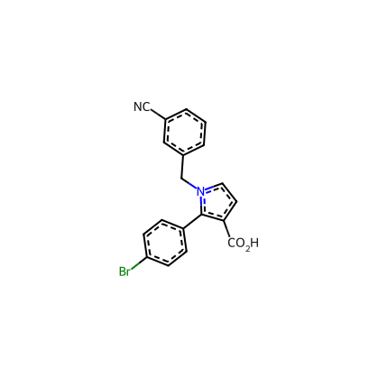 N#Cc1cccc(Cn2ccc(C(=O)O)c2-c2ccc(Br)cc2)c1